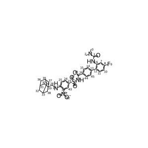 CN(C)C(=O)Nc1cc(F)ccc1-c1ccc(C(=O)NS(=O)(=O)c2ccc(NCC34CC5CC(CC(C5)C3)C4)c([N+](=O)[O-])c2)cc1